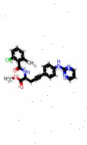 COC(=O)C(CC#Cc1ccc(Nc2ncccn2)cc1)NC(=O)c1c(C)cccc1Cl